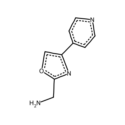 NCc1nc(-c2ccncc2)co1